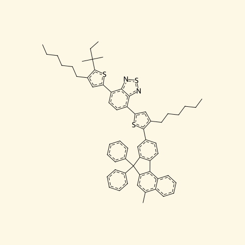 CCCCCCc1cc(-c2ccc(-c3cc(CCCCCC)c(C(C)(C)CC)s3)c3nsnc23)sc1-c1ccc2c(c1)C(c1ccccc1)(c1ccccc1)c1cc(C)c3ccccc3c1-2